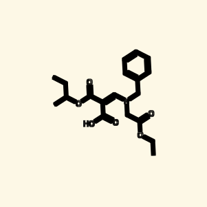 CCOC(=O)CN(C=C(C(=O)O)C(=O)OC(C)CC)Cc1ccccc1